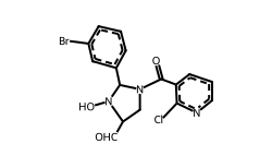 O=CC1CN(C(=O)c2cccnc2Cl)C(c2cccc(Br)c2)N1O